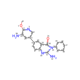 COc1ncc(-c2ccc3nc(N)n(-c4ccccc4)c(=O)c3c2)cc1N